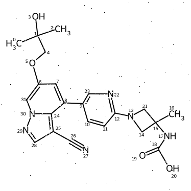 CC(C)(O)COc1cc(-c2ccc(N3CC(C)(NC(=O)O)C3)nc2)c2c(C#N)cnn2c1